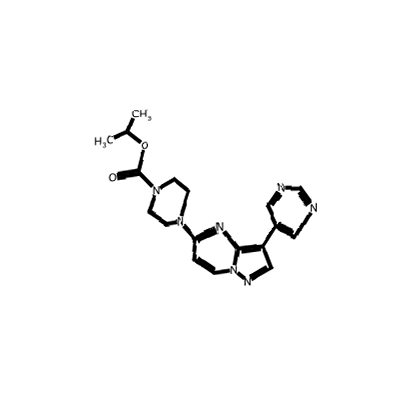 CC(C)OC(=O)N1CCN(c2ccn3ncc(-c4cncnc4)c3n2)CC1